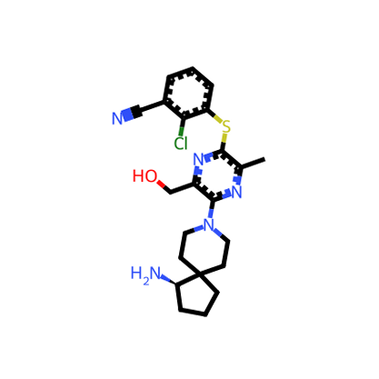 Cc1nc(N2CCC3(CCC[C@H]3N)CC2)c(CO)nc1Sc1cccc(C#N)c1Cl